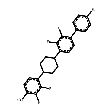 CCCCc1ccc(C2CCC(c3ccc(-c4ccc(CC)cc4)c(F)c3F)CC2)c(F)c1F